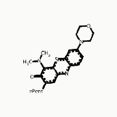 CCCCCc1cc2nc3ccc(N4CCOCC4)cc3sc-2c(N(C)C)c1=O